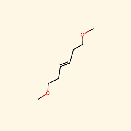 COCC/C=C/CCOC